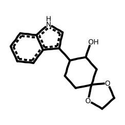 OC1CC2(CCC1c1c[nH]c3ccccc13)OCCO2